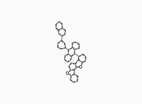 c1cc(-c2ccc3ccccc3c2)cc(-c2c3ccccc3c(-c3cccc4oc5c(ccc6oc7ccccc7c65)c34)c3ccccc23)c1